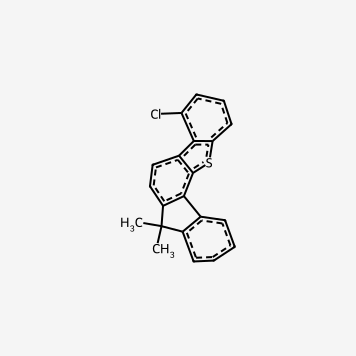 CC1(C)c2ccccc2-c2c1ccc1c2sc2cccc(Cl)c21